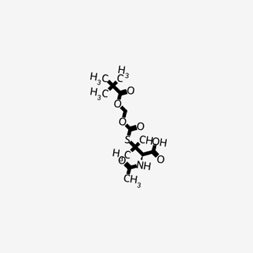 CC(=O)N[C@@H](C(=O)O)C(C)(C)SC(=O)OCOC(=O)C(C)(C)C